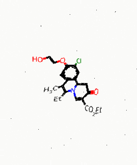 CCOC(=O)C1=CN2C(CC1=O)c1cc(Cl)c(OCCO)cc1C(C)C2CC